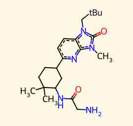 Cn1c(=O)n(CC(C)(C)C)c2ccc(C3CCC(C)(C)C(NC(=O)CN)C3)nc21